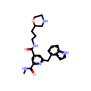 CNC(=O)c1cc(C(=O)NCCCC2CNCCO2)cc(Cc2cccc3[nH]ccc23)n1